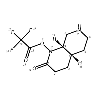 O=C1CC[C@H]2CCNC[C@H]2N1OC(=O)C(F)(F)F